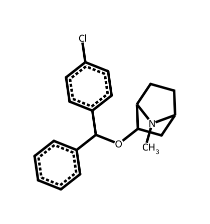 CN1C2CCC1C(OC(c1ccccc1)c1ccc(Cl)cc1)C2